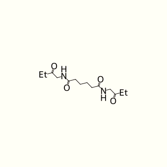 CCC(=O)CNC(=O)CCCCC(=O)NCC(=O)CC